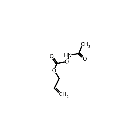 C=CCOC(=O)ONC(C)=O